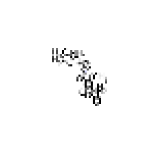 COc1cc(NC(=O)c2ccccc2C)c(Cl)cc1C(=O)C/N=c1\sccn1COC(=O)C(N)C(C)C